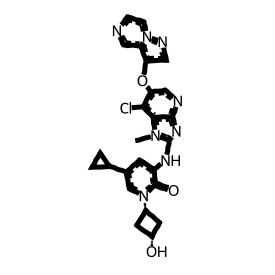 Cn1c(Nc2cc(C3CC3)cn([C@H]3C[C@@H](O)C3)c2=O)nc2ncc(Oc3cnn4ccncc34)c(Cl)c21